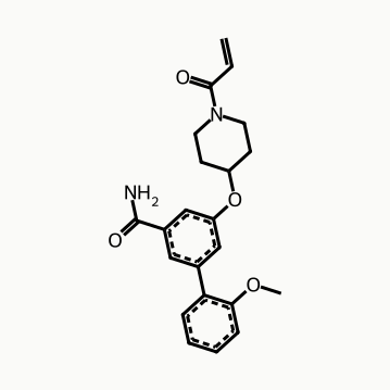 C=CC(=O)N1CCC(Oc2cc(C(N)=O)cc(-c3ccccc3OC)c2)CC1